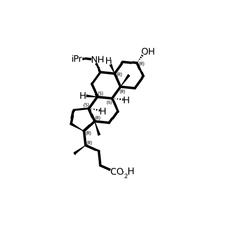 CC(C)NC1C[C@@H]2[C@H](CC[C@]3(C)[C@@H]([C@H](C)CCC(=O)O)CC[C@@H]23)[C@@]2(C)CC[C@@H](O)C[C@@H]12